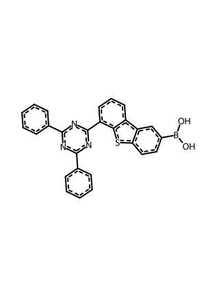 OB(O)c1ccc2sc3c(-c4nc(-c5ccccc5)nc(-c5ccccc5)n4)cccc3c2c1